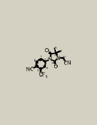 CC1(C)C(=O)N(c2ccc(C#N)c(C(F)(F)F)c2)C(=O)N1CC#N